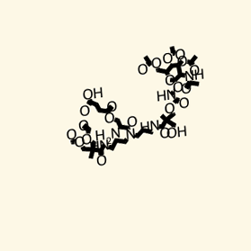 CC(=O)NC1C(ONC(=O)OCC(C)(CO)C(=O)NCCCN(CCCNC(=O)C(C)(COC=O)COC=O)C(=O)[C@H](N)COC(=O)CCC(=O)O)OC(COC(C)=O)[C@H](OC(C)=O)C1OC(C)=O